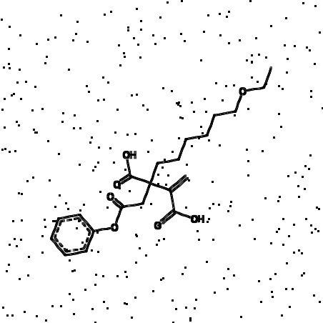 C=C(C(=O)O)C(CCCCCCOCC)(CC(=O)Oc1ccccc1)C(=O)O